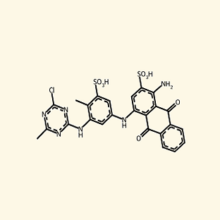 Cc1nc(Cl)nc(Nc2cc(Nc3cc(S(=O)(=O)O)c(N)c4c3C(=O)c3ccccc3C4=O)cc(S(=O)(=O)O)c2C)n1